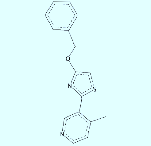 Cc1ccncc1-c1nc(OCc2ccccc2)cs1